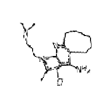 Cc1c(Cl)c2c(N)c3c(nc2n1CCCN(C)C)CCCCC3